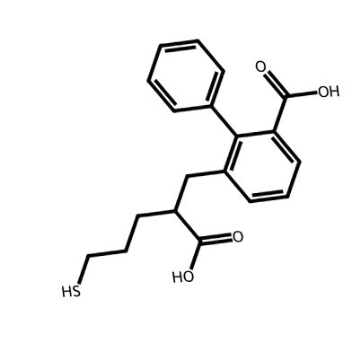 O=C(O)c1cccc(CC(CCCS)C(=O)O)c1-c1ccccc1